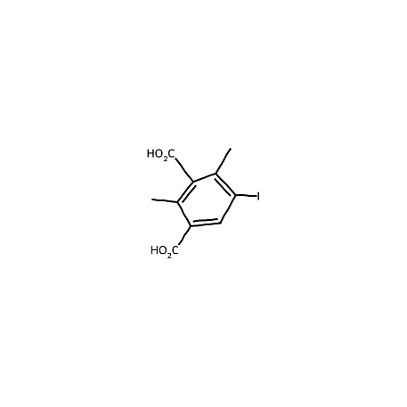 Cc1c(I)cc(C(=O)O)c(C)c1C(=O)O